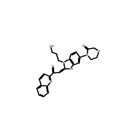 O=C(C=C1Nc2cc(N3CCOCC3=O)ccc2N1CCCO)c1ccc2ccccc2n1